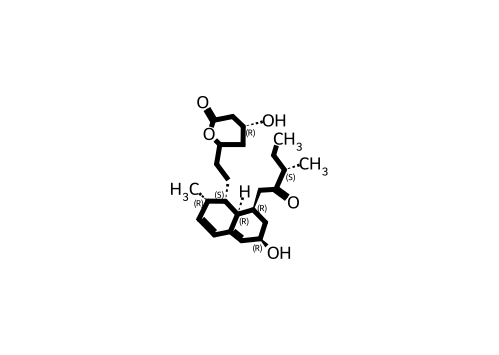 CC[C@H](C)C(=O)C[C@H]1C[C@@H](O)C=C2C=C[C@H](C)[C@H](CCC3C[C@@H](O)CC(=O)O3)[C@H]21